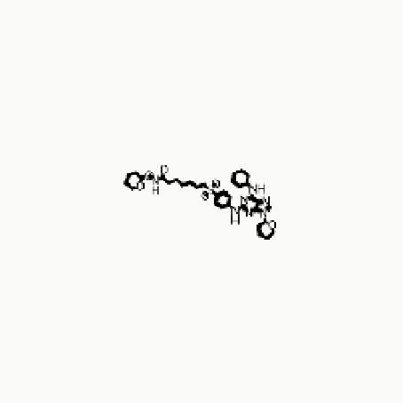 O=C(CCCCCCS(=O)(=O)c1ccc(Nc2nc(NC3CCCCC3)c3ncn(C4CCCCO4)c3n2)cc1)NOC1CCCCO1